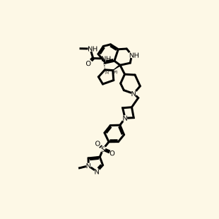 CNC(=O)N[C@H]1CCC[C@@H]1C1(C2CCN(CC3CN(c4ccc(S(=O)(=O)c5cnn(C)c5)cc4)C3)CC2)CNCc2ccccc21